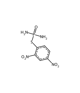 NP(N)(=O)Sc1ccc([N+](=O)[O-])cc1[N+](=O)[O-]